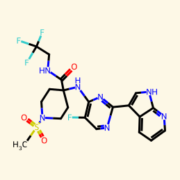 CS(=O)(=O)N1CCC(Nc2nc(-c3c[nH]c4ncccc34)ncc2F)(C(=O)NCC(F)(F)F)CC1